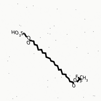 CC(F)(F)COC(=O)CCCCCCCCCCCCCCCCCCCCC(=O)OCCS(=O)(=O)O